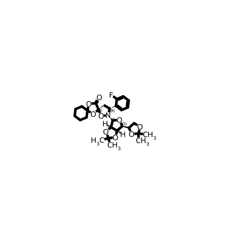 CC1(C)OCC([C@@H]2O[C@@H](N3O[C@@]4(C[C@@H]3c3ccccc3F)OC3(CCCCC3)OC4=O)[C@@H]3OC(C)(C)O[C@@H]32)O1